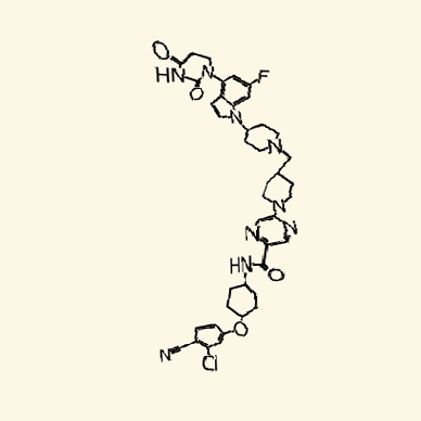 N#Cc1ccc(O[C@H]2CC[C@H](NC(=O)c3cnc(N4CCC(CN5CCC(n6ccc7c(N8CCC(=O)NC8=O)cc(F)cc76)CC5)CC4)cn3)CC2)cc1Cl